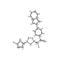 Cc1nnc([C@H]2CC[C@@H](N(C)C(=O)c3ccc(-c4nc5ccccc5s4)cc3)C2)o1